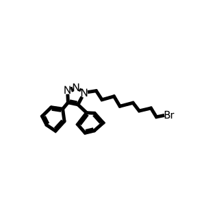 BrCCCCCCCCn1nnc(-c2ccccc2)c1-c1ccccc1